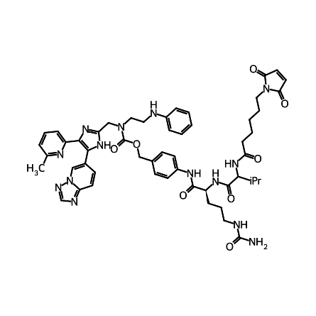 Cc1cccc(-c2nc(CN(CCNc3ccccc3)C(=O)OCc3ccc(NC(=O)[C@H](CCCNC(N)=O)NC(=O)C(NC(=O)CCCCCN4C(=O)C=CC4=O)C(C)C)cc3)[nH]c2-c2ccc3ncnn3c2)n1